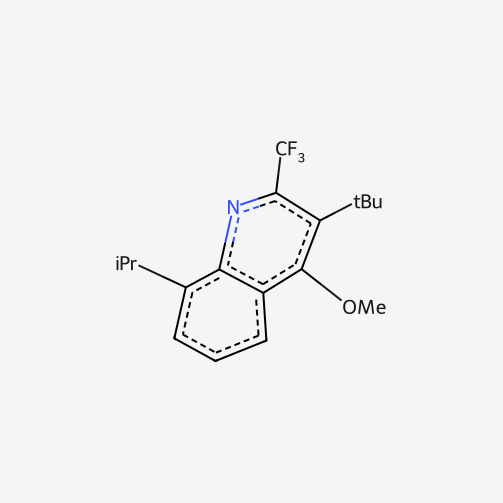 COc1c(C(C)(C)C)c(C(F)(F)F)nc2c(C(C)C)cccc12